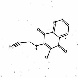 C#CCNC1=C(Cl)C(=O)c2cccnc2C1=O